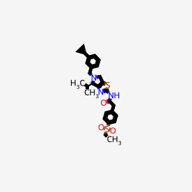 CCS(=O)(=O)c1ccc(CC(=O)Nc2nc3c(s2)CN(Cc2cccc(C4CC4)c2)[C@@H]3C(C)C)cc1